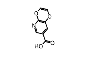 O=C(O)c1cnc2c(c1)OC=CO2